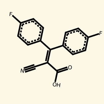 N#CC(C(=O)O)=C(c1ccc(F)cc1)c1ccc(F)cc1